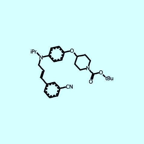 CC(C)N(CC=Cc1cccc(C#N)c1)c1ccc(OC2CCN(C(=O)OC(C)(C)C)CC2)cc1